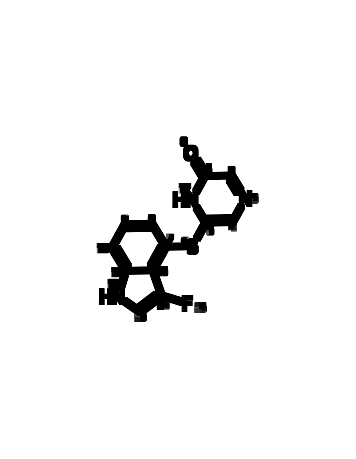 O=c1cncc(Sc2cccc3[nH]cc(F)c23)[nH]1